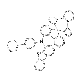 C1=CCCC(c2ccc(N(c3cccc4c3-c3ccccc3C43c4ccccc4-c4ccccc4-c4ccccc43)c3cccc4c3sc3ccccc34)cc2)=C1